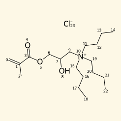 C=C(C)C(=O)OCC(O)C[N+](CCCC)(CCCC)CCCC.[Cl-]